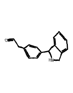 O=CCc1ccc(C2NCc3ccccc32)cc1